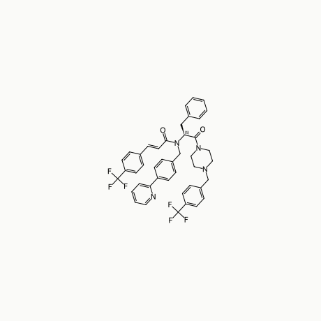 O=C([C@H](Cc1ccccc1)N(Cc1ccc(-c2ccccn2)cc1)C(=O)C=Cc1ccc(C(F)(F)F)cc1)N1CCN(Cc2ccc(C(F)(F)F)cc2)CC1